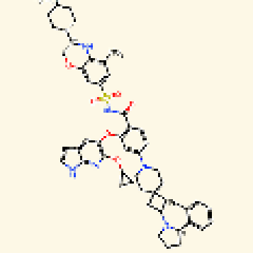 CC(C)c1ccccc1[C@H]1CCCN1C1CC2(CCN(c3ccc(C(=O)NS(=O)(=O)c4cc5c(c([N+](=O)[O-])c4)N[C@@H]([C@H]4CC[C@](C)(O)CC4)CO5)c(Oc4cc5cc[nH]c5nc4OC4CC4)c3)CC2)C1